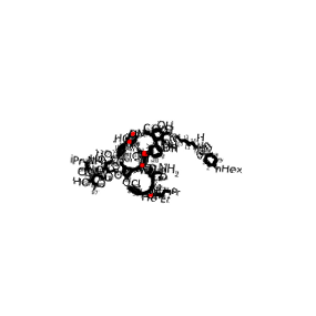 CCCCCCc1ccc(S(=O)(=O)NCCCCCCNCc2c(O)cc3c(c2O)-c2cc(ccc2O)[C@H]2CC(=O)[C@@H]4NC(=O)[C@H](CC(N)=O)CC(=O)[C@H](NC(=O)[C@H](CC)CC(C)C)[C@H](O)c5ccc(c(Cl)c5)Oc5cc4cc(c5O[C@@H]4O[C@H](CO)[C@@H](O)[C@H](O)[C@H]4O[C@H]4C[C@](C)(NC(=O)[C@H](N)C(C)C)[C@H](O)[C@H](C)O4)Oc4ccc(cc4Cl)[C@@H](O)[C@H](NC2=O)C(=O)N[C@@H]3C(=O)O)cc1